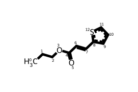 CCCOC(=O)C=Cc1cccs1